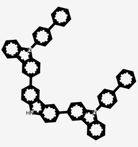 c1ccc(-c2ccc(-n3c4ccccc4c4cc(-c5ccc6[nH]c7ccc(-c8ccc9c(c8)c8ccccc8n9-c8ccc(-c9ccccc9)cc8)cc7c6c5)ccc43)cc2)cc1